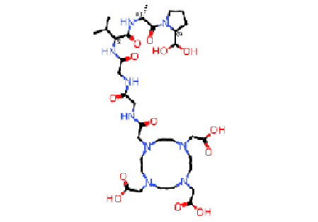 CC(C)[C@H](NC(=O)CNC(=O)CNC(=O)CN1CCN(CC(=O)O)CCN(CC(=O)O)CCN(CC(=O)O)CC1)C(=O)N[C@H](C)C(=O)N1CCC[C@H]1C(O)O